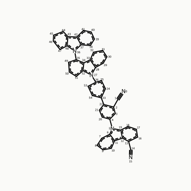 N#Cc1cc(-n2c3ccccc3c3c(C#N)cccc32)ccc1-c1ccc(-n2c3ccccc3c3c(-n4c5ccccc5c5ccccc54)cccc32)cc1